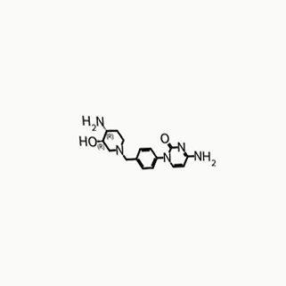 Nc1ccn(-c2ccc(CN3CC[C@@H](N)[C@H](O)C3)cc2)c(=O)n1